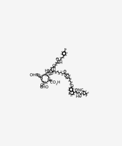 CC1(F)C[C@H](C#N)N(C(=O)CNC(=O)c2ccnc3ccc(OCCCCN4CCN(C(=O)CCCCCNC(=O)C(CCOCCNC(=O)CCCc5ccc(I)cc5)NC(=O)CN5CCN(COC=O)CCN(COC=O)CCN(CC(=O)O)CC5)CC4)cc23)C1